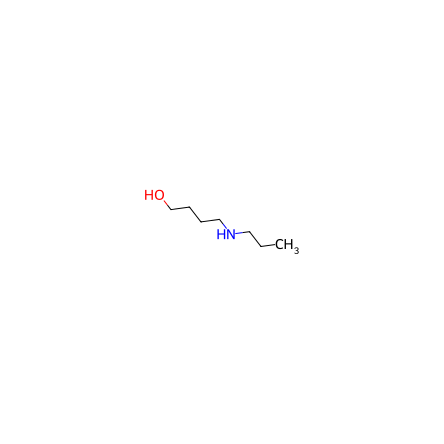 CCCNCCCCO